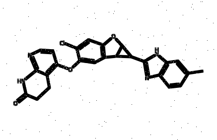 Cc1ccc2nc(C3C4Oc5cc(Cl)c(Oc6ccnc7c6CCC(=O)N7)cc5C43)[nH]c2c1